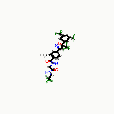 Cc1cc(C2=NOC(c3cc(C(F)F)cc(C(F)F)c3)(C(F)(F)F)C2)ccc1C(=O)NCC(=O)NCC(F)(F)F